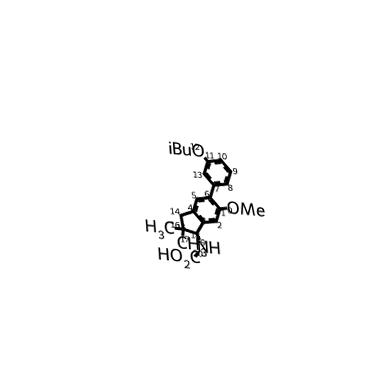 COc1cc2c(cc1-c1cccc(OCC(C)C)c1)CC(C)(C)C2NC(=O)O